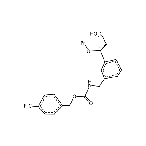 CC(C)O[C@@H](CC(=O)O)c1cccc(CNC(=O)OCc2ccc(C(F)(F)F)cc2)c1